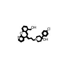 OCC1C=CC=C2Oc3ncccc3C(=CCCN3CCC(O)(c4ccc(Cl)cc4)CC3)C=C21